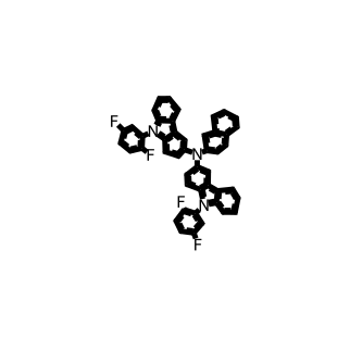 Fc1ccc(F)c(-n2c3ccccc3c3cc(N(c4ccc5ccccc5c4)c4ccc5c(c4)c4ccccc4n5-c4cc(F)ccc4F)ccc32)c1